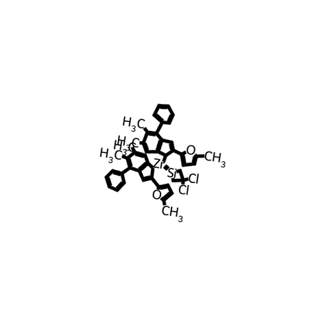 Cc1ccc(C2=Cc3c(cc(C)c(C)c3-c3ccccc3)[CH]2[Zr]([CH]2C(c3ccc(C)o3)=Cc3c2cc(C)c(C)c3-c2ccccc2)=[Si]2CC(Cl)(Cl)C2)o1